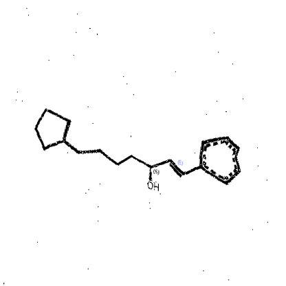 O[C@H](/C=C/c1ccccc1)CCCCC1CCCC1